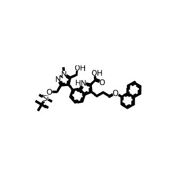 Cn1nc(CO[Si](C)(C)C(C)(C)C)c(-c2cccc3c(CCCOc4cccc5ccccc45)c(C(=O)O)[nH]c23)c1CO